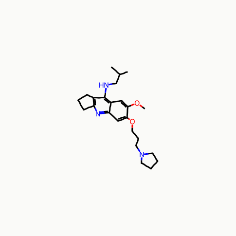 COc1cc2c(NCC(C)C)c3c(nc2cc1OCCCN1CCCC1)CCC3